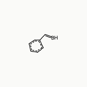 B=Cc1ccccc1